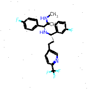 C=C(NC)[C@H](N[C@@H](CCc1ccc(C(F)(F)F)nc1)c1cccc(F)c1)c1ccc(F)cc1